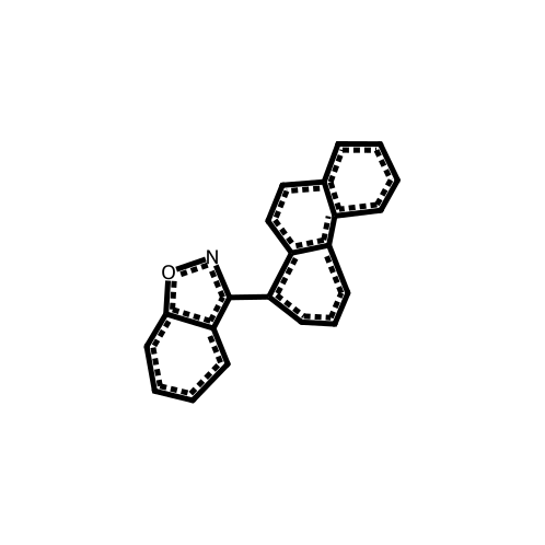 c1ccc2c(c1)ccc1c(-c3noc4ccccc34)cccc12